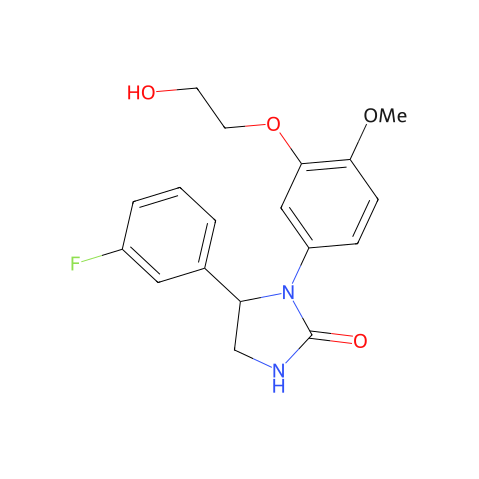 COc1ccc(N2C(=O)NCC2c2cccc(F)c2)cc1OCCO